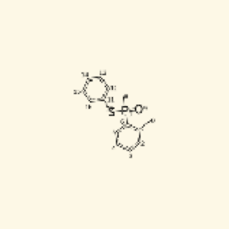 Cc1ccccc1P(C)(=O)Sc1ccccc1